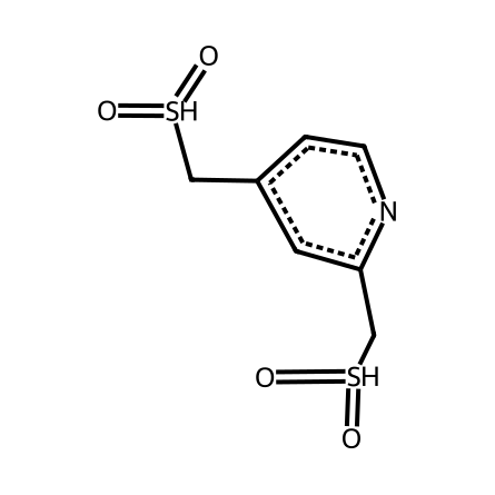 O=[SH](=O)Cc1ccnc(C[SH](=O)=O)c1